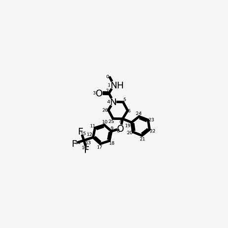 CNC(=O)N1CCC(Oc2ccc(C(F)(F)F)cc2)(c2ccccc2)CC1